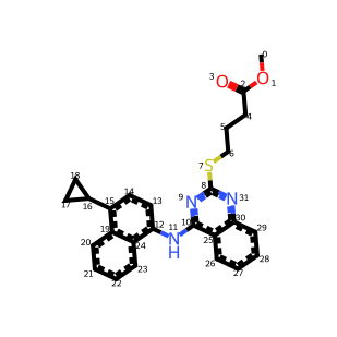 COC(=O)CCCSc1nc(Nc2ccc(C3CC3)c3ccccc23)c2ccccc2n1